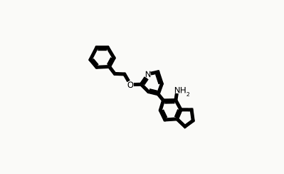 Nc1c(-c2ccnc(OCCc3ccccc3)c2)ccc2c1CCC2